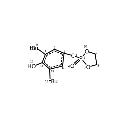 CC(C)(C)c1cc(CP2(=O)OCCO2)cc(C(C)(C)C)c1O